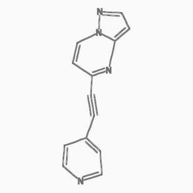 C(#Cc1ccn2nccc2n1)c1ccncc1